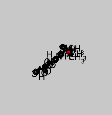 C[C@@H]1[C@H]2C[C@@H](C[C@H]1Nc1ccccc1CN1CCN(c3ccc(C(=O)NS(=O)(=O)c4ccc(NCC5CCOCC5)c([N+](=O)[O-])c4)cc3)CC1)C2(C)C